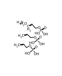 C=CCOP(=O)(O)O.C=CCOP(=O)(O)O.C=CCOP(=O)(O)O.O.[SiH4]